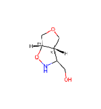 OCC1NO[C@@H]2COC[C@H]12